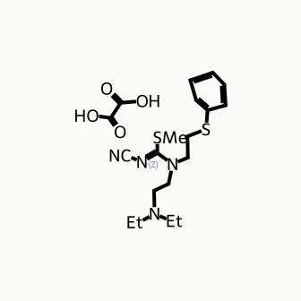 CCN(CC)CCN(CCSc1ccccc1)/C(=N/C#N)SC.O=C(O)C(=O)O